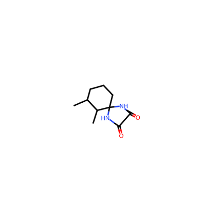 CC1CCCC2(NC(=O)C(=O)N2)C1C